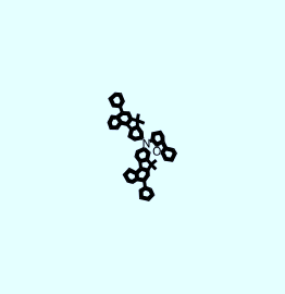 CC1(C)c2cc(N(c3ccc4c(c3)C(C)(C)c3cc(-c5ccccc5)c5ccccc5c3-4)c3cccc4c3oc3ccccc34)ccc2-c2c1cc(-c1ccccc1)c1ccccc21